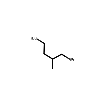 [CH2]C(CC)CCC(C)CC(C)C